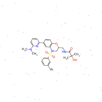 CC(C)c1cccc(S(=O)(=O)N2CC(CNC(=O)C(C)(C)O)Oc3ccc(-c4cccc(N(C)C)n4)cc32)c1